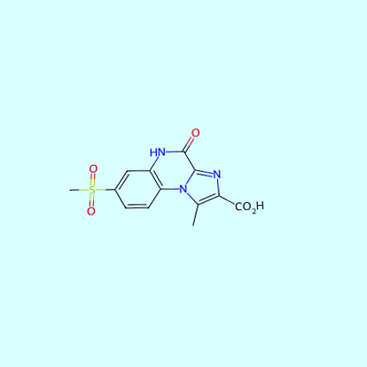 Cc1c(C(=O)O)nc2c(=O)[nH]c3cc(S(C)(=O)=O)ccc3n12